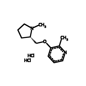 Cc1ncccc1OC[C@@H]1CCCN1C.Cl.Cl